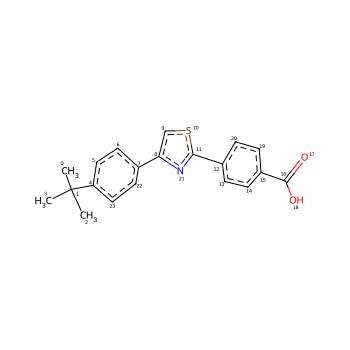 CC(C)(C)c1ccc(-c2csc(-c3ccc(C(=O)O)cc3)n2)cc1